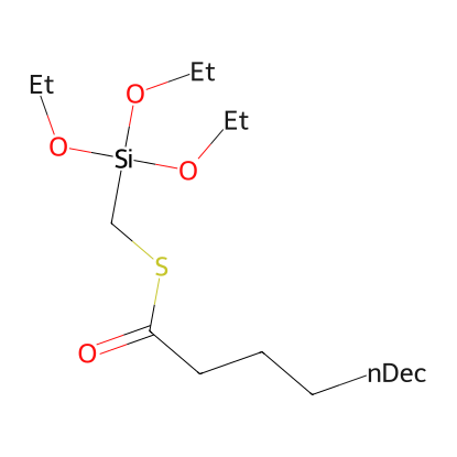 CCCCCCCCCCCCCC(=O)SC[Si](OCC)(OCC)OCC